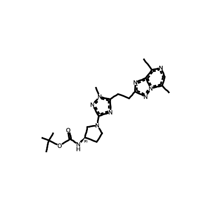 Cc1ncc(C)n2nc(CCc3nc(N4CC[C@@H](NC(=O)OC(C)(C)C)C4)nn3C)nc12